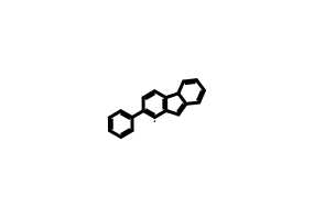 [c]1c(-c2ccccc2)ccc2c1C=C1C=CC=CC12